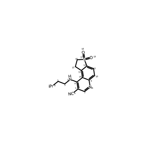 CC(C)CCNc1c(C#N)cnc2ccc3c(c12)CCS3(=O)=O